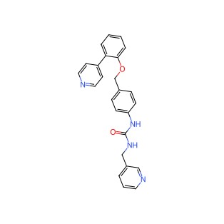 O=C(NCc1cccnc1)Nc1ccc(COc2ccccc2-c2ccncc2)cc1